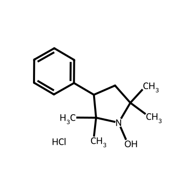 CC1(C)CC(c2ccccc2)C(C)(C)N1O.Cl